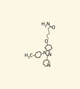 Cc1ccc(-n2c(-c3cccnc3)nc3ccc(OCCCCC(N)=O)cc32)cc1